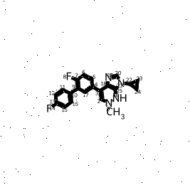 CN1C=C(c2ccc(F)c(-c3ccc(F)cc3)c2)c2ncn(C3CC3)c2N1